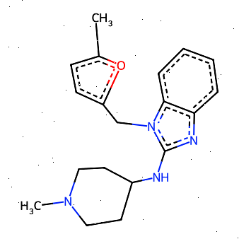 Cc1ccc(Cn2c(NC3CCN(C)CC3)nc3ccccc32)o1